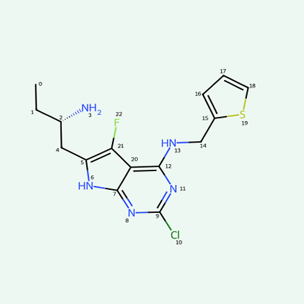 CC[C@H](N)Cc1[nH]c2nc(Cl)nc(NCc3cccs3)c2c1F